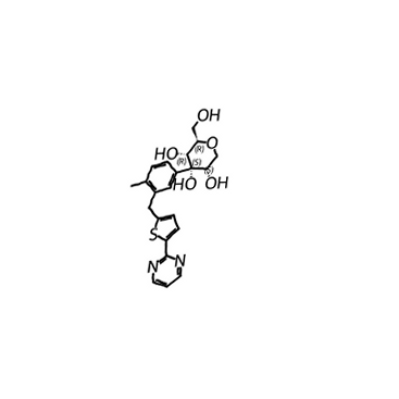 Cc1ccc([C@@]2(O)[C@H](O)[C@@H](CO)OC[C@@H]2O)cc1Cc1ccc(-c2ncccn2)s1